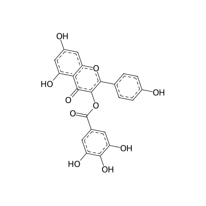 O=C(Oc1c(-c2ccc(O)cc2)oc2cc(O)cc(O)c2c1=O)c1cc(O)c(O)c(O)c1